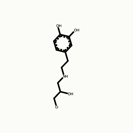 [O]CC(O)CNCCc1ccc(O)c(O)c1